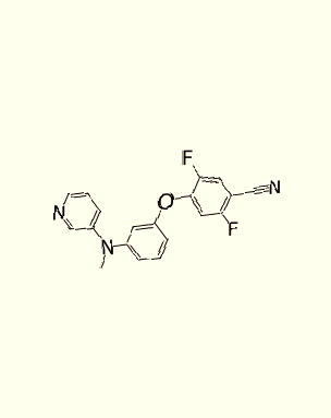 CN(c1cccnc1)c1cccc(Oc2cc(F)c(C#N)cc2F)c1